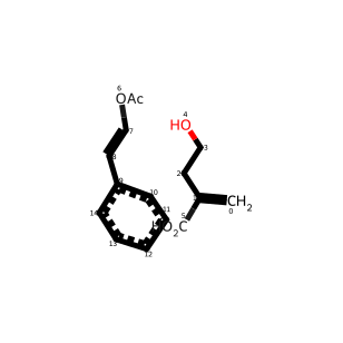 C=C(CCO)C(=O)O.CC(=O)OC=Cc1ccccc1